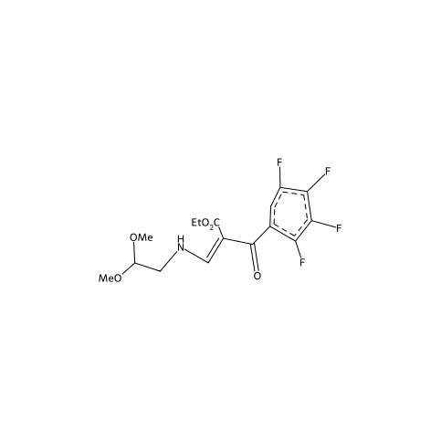 CCOC(=O)/C(=C\NCC(OC)OC)C(=O)c1cc(F)c(F)c(F)c1F